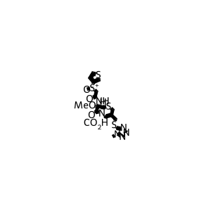 CO[C@@]1(NC(=O)C[S+]([O-])c2ccsc2)C(=O)N2C(C(=O)O)=C(CSc3nnnn3C)CS[C@H]21